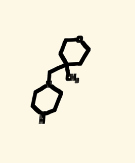 CC1(CN2CCNCC2)CCOCC1